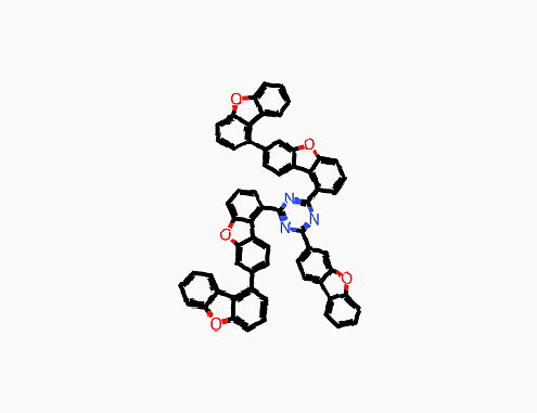 c1ccc2c(c1)oc1cc(-c3nc(-c4cccc5oc6cc(-c7cccc8oc9ccccc9c78)ccc6c45)nc(-c4cccc5oc6cc(-c7cccc8oc9ccccc9c78)ccc6c45)n3)ccc12